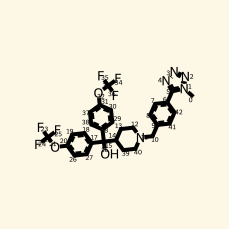 Cn1nnnc1-c1ccc(CN2CCC(C(O)(c3ccc(OC(F)(F)F)cc3)c3ccc(OC(F)(F)F)cc3)CC2)cc1